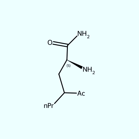 CCCC(C[C@H](N)C(N)=O)C(C)=O